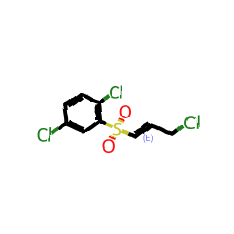 O=S(=O)(/C=C/CCl)c1cc(Cl)ccc1Cl